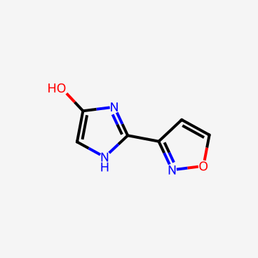 Oc1c[nH]c(-c2ccon2)n1